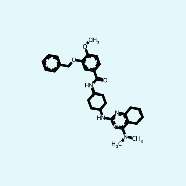 COc1ccc(C(=O)NC2CCC(Nc3nc4c(c(N(C)C)n3)CCCC4)CC2)cc1OCc1ccccc1